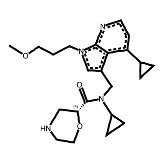 COCCCn1cc(CN(C(=O)[C@H]2CNCCO2)C2CC2)c2c(C3CC3)ccnc21